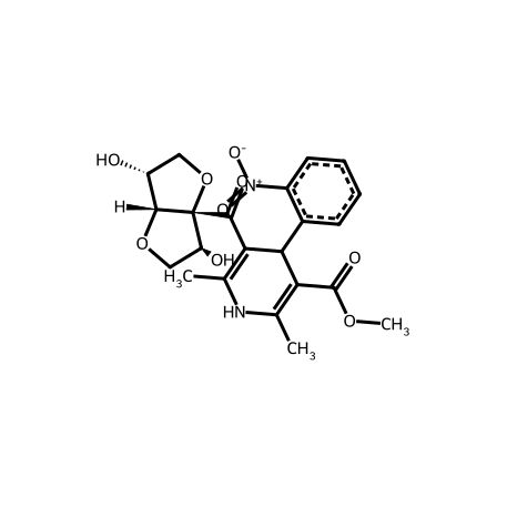 COC(=O)C1=C(C)NC(C)=C(C(=O)[C@]23OC[C@@H](O)[C@H]2OC[C@@H]3O)C1c1ccccc1[N+](=O)[O-]